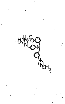 COc1cccc(CN(Cc2cccc(N3CCN(C)CC3)c2)c2ccc(CN3CCNC(=O)C3)cc2)c1